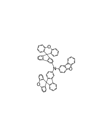 c1ccc2c(c1)Oc1ccccc1C21c2ccccc2-c2cc(N(c3ccc4c(c3)-c3ccccc3C43c4ccccc4Oc4ccccc43)c3ccc4oc5ccccc5c4c3)ccc21